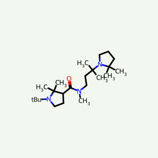 CN(CCC(C)(C)N1CCCC1(C)C)C(=O)C1CCN(C(C)(C)C)C1(C)C